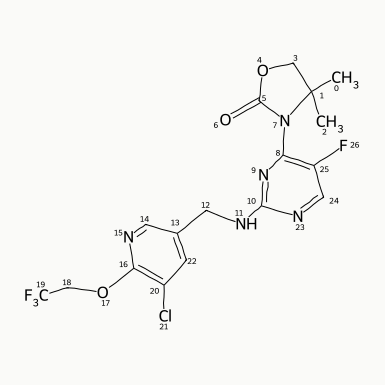 CC1(C)COC(=O)N1c1nc(NCc2cnc(OCC(F)(F)F)c(Cl)c2)ncc1F